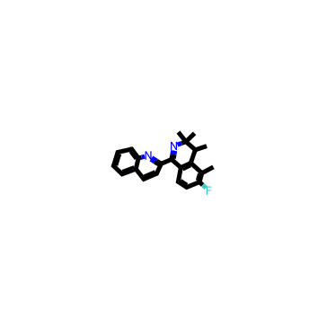 Cc1c(F)ccc2c1C(C)C(C)(C)N=C2c1ccc2ccccc2n1